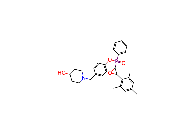 Cc1cc(C)c(C2OC2P(=O)(Oc2ccc(CN3CCC(O)CC3)cc2)c2ccccc2)c(C)c1